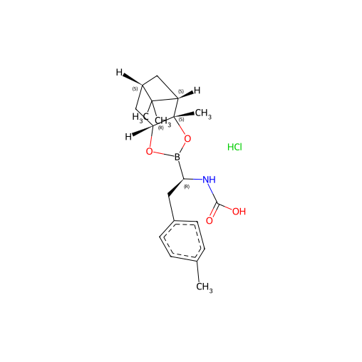 Cc1ccc(C[C@H](NC(=O)O)B2O[C@@H]3C[C@@H]4C[C@@H](C4(C)C)[C@]3(C)O2)cc1.Cl